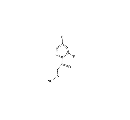 N#CSCC(=O)c1ccc(F)cc1F